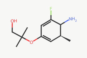 C[C@H]1C=C(OC(C)(C)CO)C=C(F)C1N